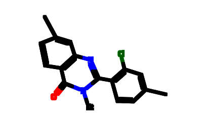 CCn1c(-c2ccc(C)cc2Cl)nc2cc(C)ccc2c1=O